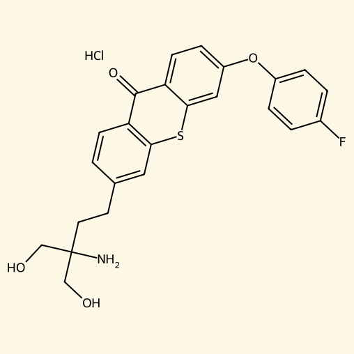 Cl.NC(CO)(CO)CCc1ccc2c(=O)c3ccc(Oc4ccc(F)cc4)cc3sc2c1